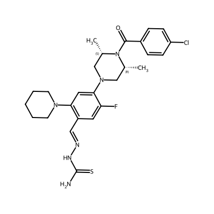 C[C@@H]1CN(c2cc(N3CCCCC3)c(C=NNC(N)=S)cc2F)C[C@H](C)N1C(=O)c1ccc(Cl)cc1